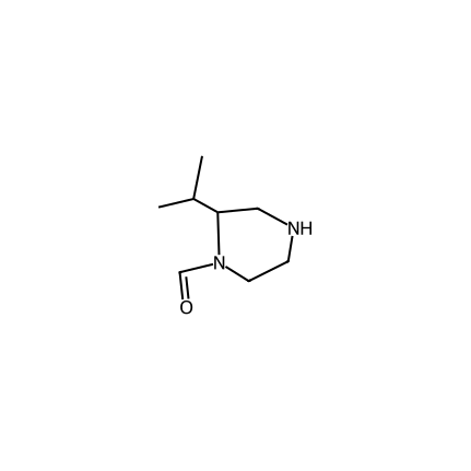 CC(C)C1CNCCN1C=O